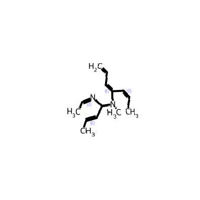 C=C/C=C(\C=C/C)N(C)C(/C=C/C)/N=C\C